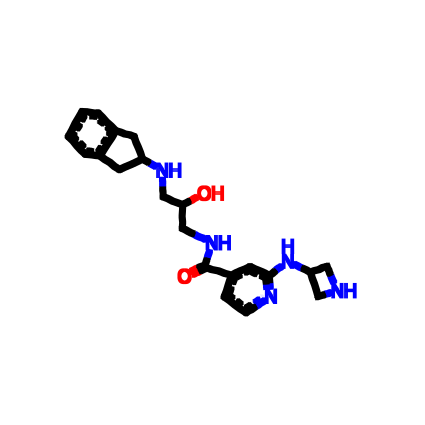 O=C(NCC(O)CNC1Cc2ccccc2C1)c1ccnc(NC2CNC2)c1